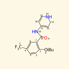 CC(C)COc1ccc(C(F)(F)F)cc1C(=O)NC1=CCNC=C1